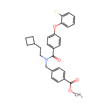 COC(=O)c1ccc(CN(CCC2CCC2)C(=O)c2ccc(Oc3ccccc3F)cc2)cc1